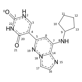 O=c1[nH]cc(-c2cc(NC3CCCC3)c3nccn3n2)c(=O)[nH]1